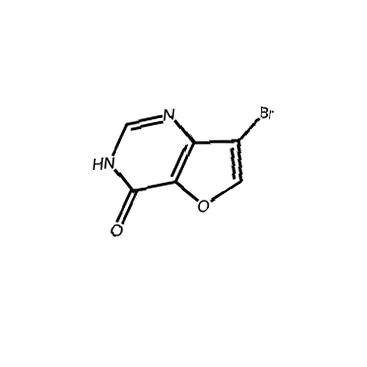 O=c1[nH]cnc2c(Br)coc12